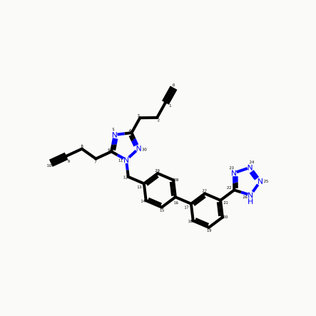 C#CCCc1nc(CCC#C)n(Cc2ccc(-c3cccc(-c4nnn[nH]4)c3)cc2)n1